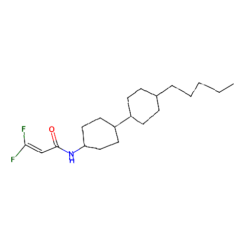 CCCCCC1CCC(C2CCC(NC(=O)C=C(F)F)CC2)CC1